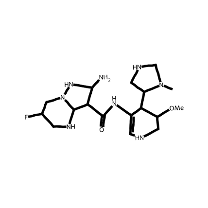 COC1CNC=C(NC(=O)C2C(N)NN3CC(F)CNC23)C1C1CNCN1C